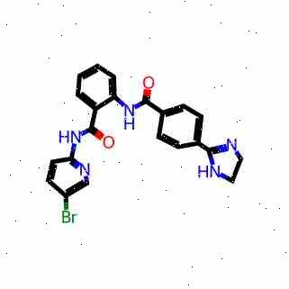 O=C(Nc1ccccc1C(=O)Nc1ccc(Br)cn1)c1ccc(C2=NCCN2)cc1